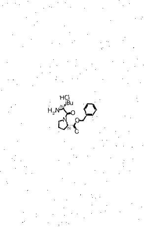 CCC(C)[C@H](N)C(=O)N1CCC[C@H]1C(=O)OCc1ccccc1.Cl